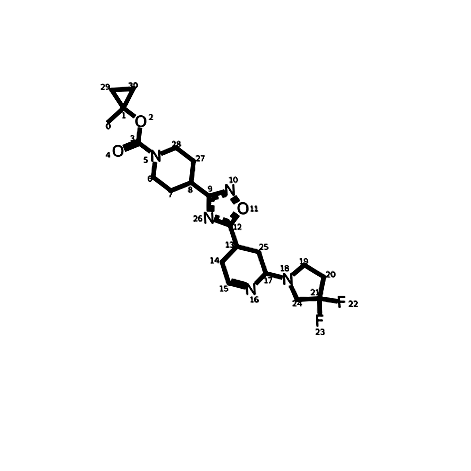 CC1(OC(=O)N2CCC(c3noc(C4CC=NC(N5CCC(F)(F)C5)C4)n3)CC2)CC1